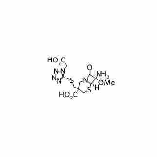 COC1(N)C(=O)N2CC(CSc3nnnn3CC(=O)O)(C(=O)O)CS[C@@H]21